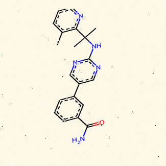 Cc1cccnc1C(C)(C)Nc1ncc(-c2cccc(C(N)=O)c2)cn1